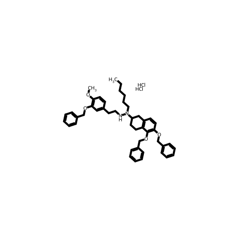 CCCCCCN(NCCc1ccc(OC)c(OCc2ccccc2)c1)C1CCc2c(ccc(OCc3ccccc3)c2OCc2ccccc2)C1.Cl.Cl